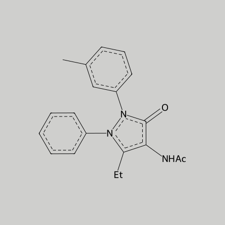 CCc1c(NC(C)=O)c(=O)n(-c2cccc(C)c2)n1-c1ccccc1